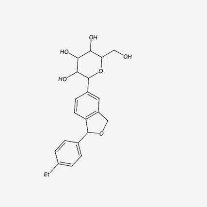 CCc1ccc(C2OCc3cc(C4OC(CO)C(O)C(O)C4O)ccc32)cc1